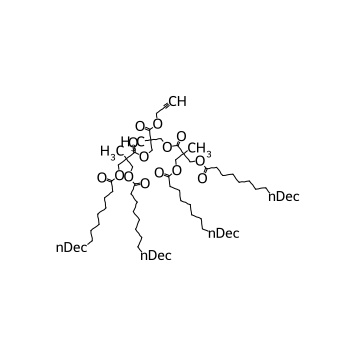 C#CCOC(=O)C(C)(COC(=O)C(C)(COC(=O)CCCCCCCCCCCCCCCCC)COC(=O)CCCCCCCCCCCCCCCCC)COC(=O)C(C)(COC(=O)CCCCCCCCCCCCCCCCC)COC(=O)CCCCCCCCCCCCCCCCC